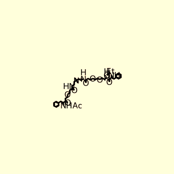 CCC(=O)NC(Cc1ccccc1)C(=O)NCCOCCOCCC(=O)NCC[N+](C)(C)CCNC(=O)CCOCCC(=O)C(Cc1ccccc1)NC(C)=O